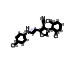 N#CC1=C(/C=C/Nc2ccc(Cl)cc2)OCN1c1c(Cl)cccc1Cl